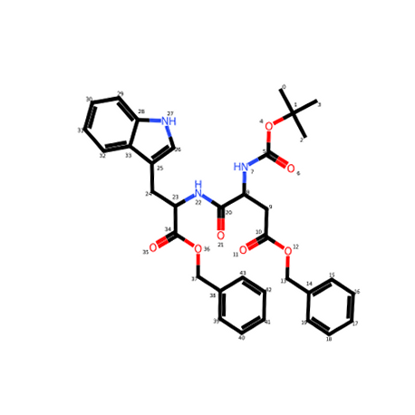 CC(C)(C)OC(=O)NC(CC(=O)OCc1ccccc1)C(=O)NC(Cc1c[nH]c2ccccc12)C(=O)OCc1ccccc1